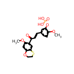 COc1ccc(/C=C/C(=O)c2cc3c(cc2OC)OCCS3)cc1OP(=O)(O)O